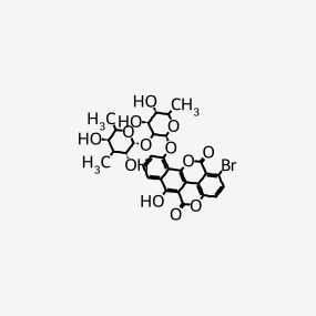 CC1O[C@H](OC2[C@H](Oc3cccc4c(O)c5c(=O)oc6ccc(Br)c7c(=O)oc(c34)c5c67)OC(C)[C@H](O)[C@@H]2O)[C@H](O)C(C)[C@H]1O